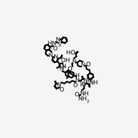 C=C(O)CCN(CCOC12CC3(C)CC(C)(CC(Cn4ncc(-c5ccc(N6CCc7cccc(C(=O)Nc8nc9ccccc9s8)c7C6)nc5C(=C)O)c4C)(C3)C1)C2)C1CCN(C(=O)CCc2ccc(NC(=C)[C@H](CCCNC(N)=O)NC(=C)[C@@H](NC(=O)CCCCCN3C(=C)C=CC3=O)C(C)C)cc2)CC1